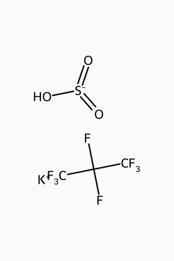 FC(F)(F)C(F)(F)C(F)(F)F.O=[S-](=O)O.[K+]